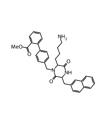 COC(=O)c1ccccc1-c1ccc(CN2C(=O)C(Cc3ccc4ccccc4c3)NC(=O)C2CCCCN)cc1